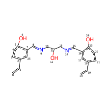 C=Cc1ccc(O)c(C=NCC(O)CN=Cc2cc(C=C)ccc2O)c1